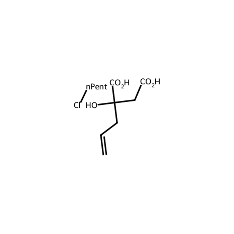 C=CCC(O)(CC(=O)O)C(=O)O.CCCCCCl